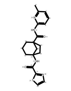 Cc1cccc(NC(=O)C23CCCC(NC(=O)c4nccs4)(CC2)C3)n1